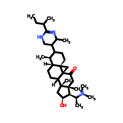 CCC(C)C1=NC(C)C(C2CC[C@]34C[C@]35C(=O)C[C@]3(C)[C@@H]([C@H](C)N(C)C)[C@H](O)C[C@@]3(C)[C@@H]5CC[C@H]4[C@H]2C)CN1